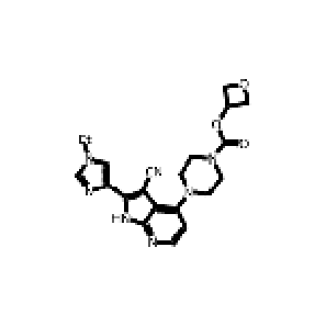 CCn1cnc(-c2[nH]c3nccc(N4CCN(C(=O)OC5COC5)CC4)c3c2C#N)c1